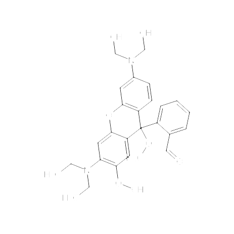 CCN(CC)c1ccc2c(c1)Oc1cc(N(CC)CC)c(OC)cc1C2(OC)c1ccccc1C=O